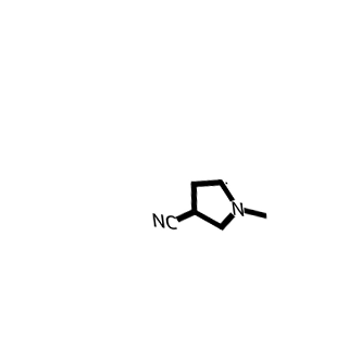 CN1[CH]CC(C#N)C1